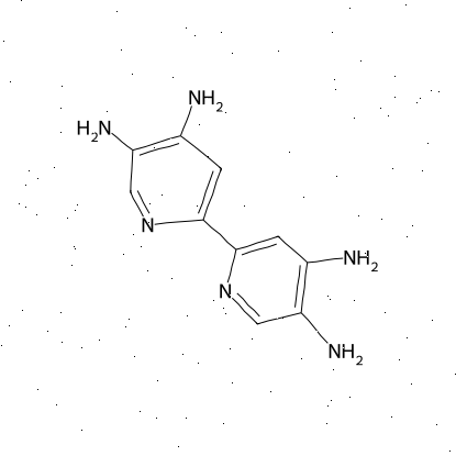 Nc1cnc(-c2cc(N)c(N)cn2)cc1N